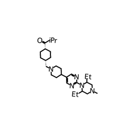 CCC1CN(C)CC(CC)N1c1ncc(C2CCN(C[C@H]3CC[C@@H](C(=O)C(C)C)CC3)CC2)cn1